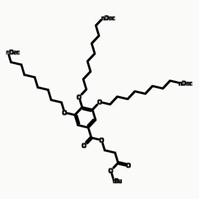 CCCCCCCCCCCCCCCCCCOc1cc(C(=O)OCCC(=O)OC(C)(C)C)cc(OCCCCCCCCCCCCCCCCCC)c1OCCCCCCCCCCCCCCCCCC